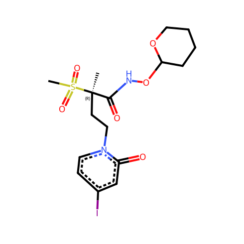 C[C@@](CCn1ccc(I)cc1=O)(C(=O)NOC1CCCCO1)S(C)(=O)=O